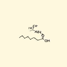 CCCCCCCC(=O)O.C[CH2][AlH2].Cl.[Co]